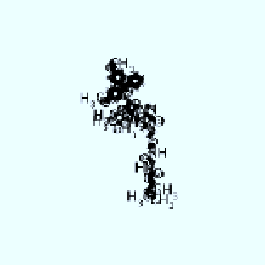 COc1ccc(C(OC[C@H]2O[C@@H](n3cnc4c(=O)n(CCOCNC(=O)CNC(=O)OCC[Si](C)(C)C)cnc43)[C@H](O)[C@@H]2O[Si](C)(C)C(C)(C)C)(c2ccccc2)c2ccc(OC)cc2)cc1